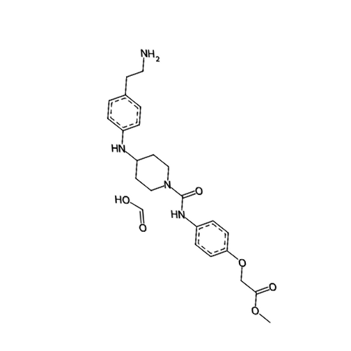 COC(=O)COc1ccc(NC(=O)N2CCC(Nc3ccc(CCN)cc3)CC2)cc1.O=CO